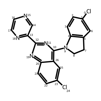 Clc1ccc2c(c1)CCN2c1nc(-c2cnccn2)nc2ccc(Cl)cc12